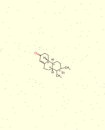 CC[C@@]1(C)CC[C@@H]2[C@H]3CCC(=O)C=C3CC[C@H]2C1C